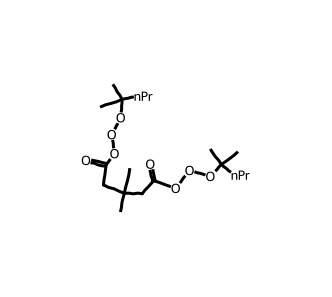 CCCC(C)(C)OOOC(=O)CC(C)(C)CC(=O)OOOC(C)(C)CCC